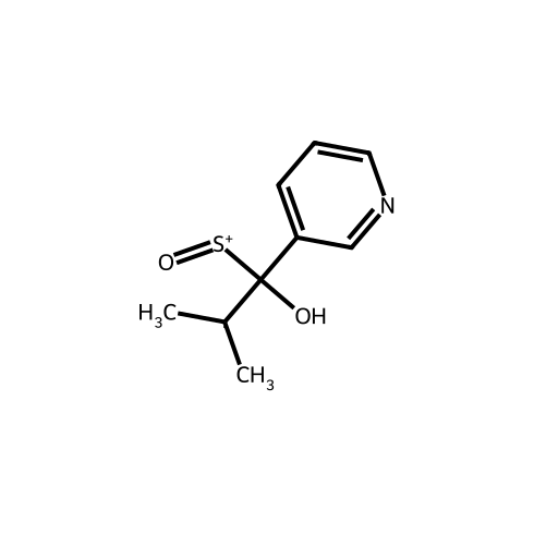 C[C](C)C(O)([S+]=O)c1cccnc1